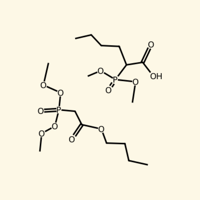 CCCCC(C(=O)O)P(=O)(OC)OC.CCCCOC(=O)CP(=O)(OOC)OOC